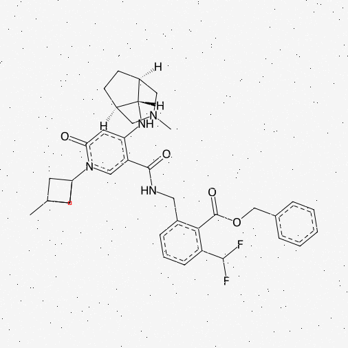 CN1C[C@H]2CC[C@@H](C1)[C@@H]2Nc1cc(=O)n(C23CC(C)(C2)C3)cc1C(=O)NCc1cccc(C(F)F)c1C(=O)OCc1ccccc1